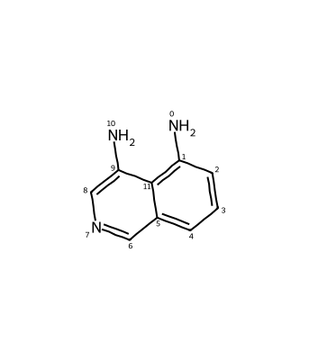 Nc1cccc2cncc(N)c12